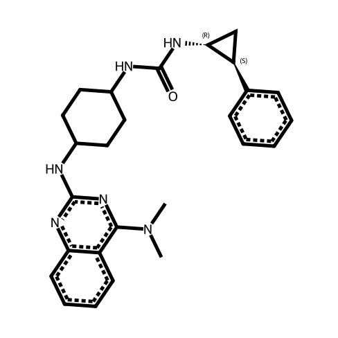 CN(C)c1nc(NC2CCC(NC(=O)N[C@@H]3C[C@H]3c3ccccc3)CC2)nc2ccccc12